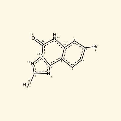 Cc1nc2c3ccc(Br)cc3[nH]c(=O)n2n1